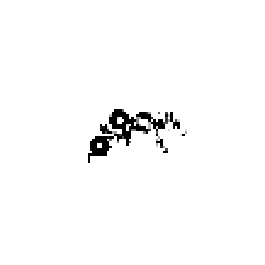 CC(C)(C)N1CCN(c2cccc(S(=O)(=O)c3ccc(F)cc3)c2C(F)(F)F)CC1